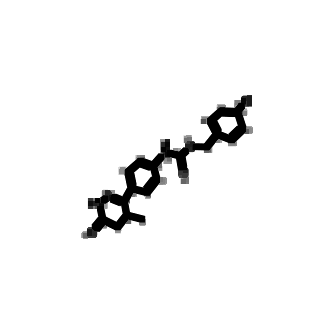 CC1CC(=O)NN=C1c1ccc(NC(=O)OCc2ccc(Cl)cc2)cc1